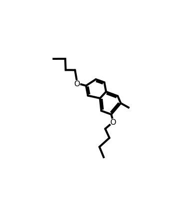 CCCCOc1ccc2cc(C)c(OCCCC)cc2c1